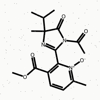 COC(=O)c1ccc(C)[n+]([O-])c1C1=NC(C)(C(C)C)C(=O)N1C(C)=O